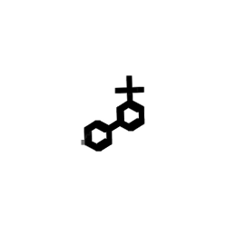 CC(C)(C)c1cccc(-c2cc[c]cc2)c1